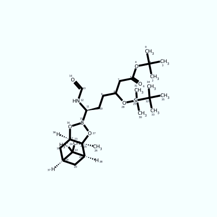 CC(C)(C)OC(=O)CC(CC[C@H](NC=O)B1O[C@@H]2C[C@@H]3C[C@@H](C3(C)C)[C@]2(C)O1)O[Si](C)(C)C(C)(C)C